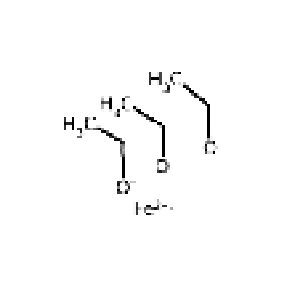 CC[O-].CC[O-].CC[O-].[Fe+3]